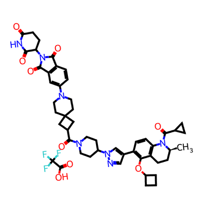 C[C@H]1CCc2c(ccc(-c3cnn(C4CCN(C(=O)C5CC6(CCN(c7ccc8c(c7)C(=O)N(C7CCC(=O)NC7=O)C8=O)CC6)C5)CC4)c3)c2OC2CCC2)N1C(=O)C1CC1.O=C(O)C(F)(F)F